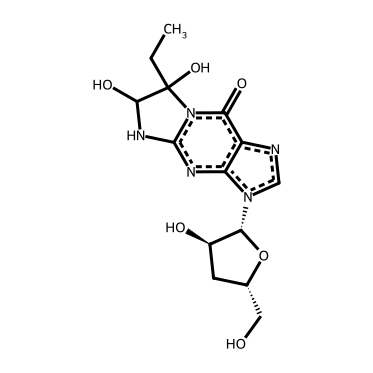 CCC1(O)C(O)Nc2nc3c(ncn3[C@@H]3O[C@H](CO)C[C@H]3O)c(=O)n21